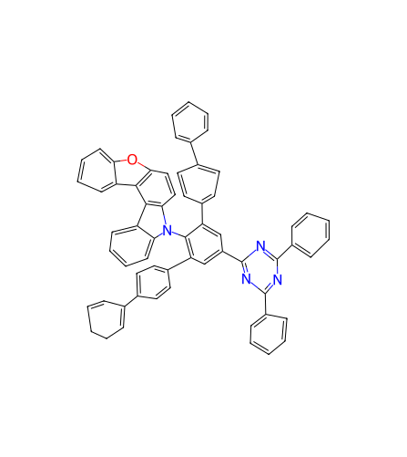 C1=CC(c2ccc(-c3cc(-c4nc(-c5ccccc5)nc(-c5ccccc5)n4)cc(-c4ccc(-c5ccccc5)cc4)c3-n3c4ccccc4c4c5c(ccc43)oc3ccccc35)cc2)=CCC1